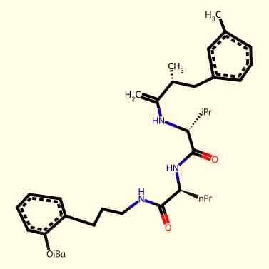 C=C(N[C@@H](C(=O)N[C@@H](CCC)C(=O)NCCCc1ccccc1OCC(C)C)C(C)C)[C@H](C)Cc1cccc(C)c1